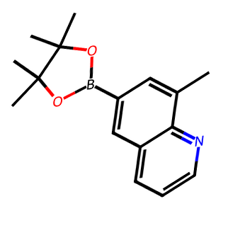 Cc1cc(B2OC(C)(C)C(C)(C)O2)cc2cccnc12